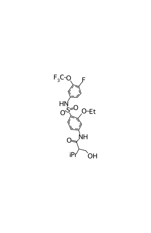 CCOc1cc(NC(=O)C(CO)C(C)C)ccc1S(=O)(=O)Nc1ccc(F)c(OC(F)(F)F)c1